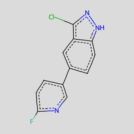 Fc1ccc(-c2ccc3[nH]nc(Cl)c3c2)cn1